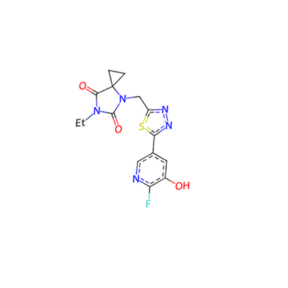 CCN1C(=O)N(Cc2nnc(-c3cnc(F)c(O)c3)s2)C2(CC2)C1=O